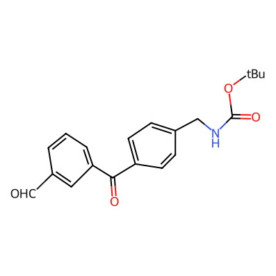 CC(C)(C)OC(=O)NCc1ccc(C(=O)c2cccc(C=O)c2)cc1